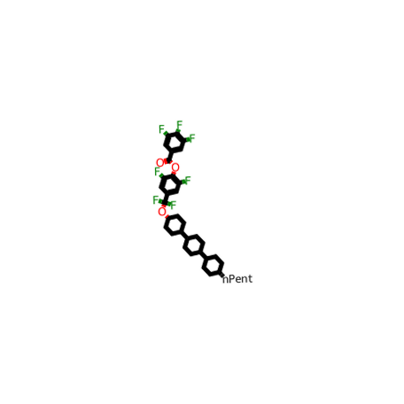 CCCCCC1CCC(C2CCC(C3CCC(OC(F)(F)c4cc(F)c(OC(=O)c5cc(F)c(F)c(F)c5)c(F)c4)CC3)CC2)CC1